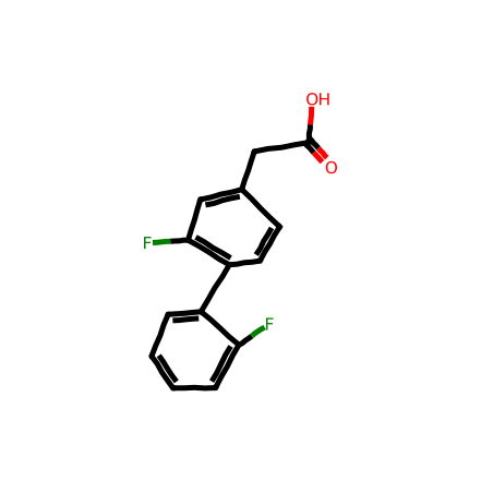 O=C(O)Cc1ccc(-c2ccccc2F)c(F)c1